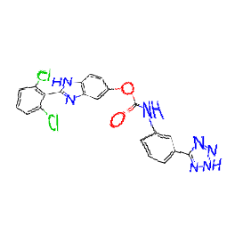 O=C(Nc1cccc(-c2nn[nH]n2)c1)Oc1ccc2[nH]c(-c3c(Cl)cccc3Cl)nc2c1